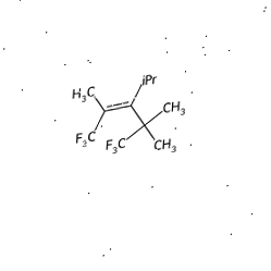 CC(=C(C(C)C)C(C)(C)C(F)(F)F)C(F)(F)F